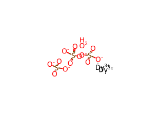 O.O=S(=O)([O-])[O-].O=S(=O)([O-])[O-].O=S(=O)([O-])[O-].[Dy+3].[Dy+3]